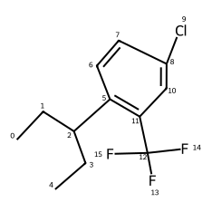 CCC(CC)c1ccc(Cl)cc1C(F)(F)F